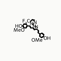 COc1cc(/C=C/c2cc(/C=C/c3ccc(O)c(OC)c3)n(-c3nccc(C(F)(F)F)n3)n2)ccc1O